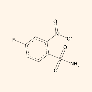 NS(=O)(=O)c1ccc(F)cc1[N+](=O)[O-]